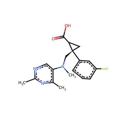 Cc1ncc(N(C)C[C@]2(c3cccc(F)c3)CC2C(=O)O)c(C)n1